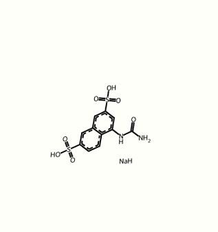 NC(=O)Nc1cc(S(=O)(=O)O)cc2cc(S(=O)(=O)O)ccc12.[NaH]